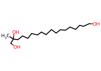 CC(O)(CO)CCCCCCCCCCCCCCCCO